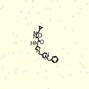 O=C(NC1CN(Cc2cnn(Cc3ccccc3)c2)C1)c1nnc(C2CC2)o1